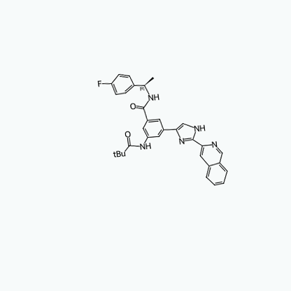 C[C@@H](NC(=O)c1cc(NC(=O)C(C)(C)C)cc(-c2c[nH]c(-c3cc4ccccc4cn3)n2)c1)c1ccc(F)cc1